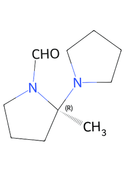 C[C@]1(N2CCCC2)CCCN1C=O